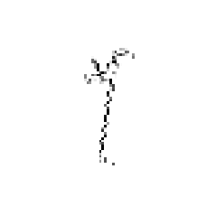 CCCCCCCCCCCCSC(=O)SC(C)(C#N)CCC(=O)OC